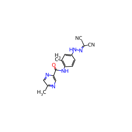 Cc1cnc(C(=O)Nc2ccc(NN=C(C#N)C#N)cc2C)cn1